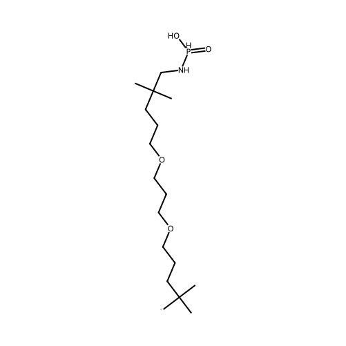 [CH2]C(C)(C)CCCOCCCOCCCC(C)(C)CN[PH](=O)O